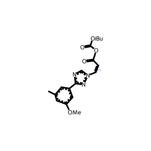 COc1cc(C)cc(-c2ncn(/C=C\C(=O)OC(=O)OCC(C)C)n2)c1